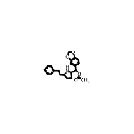 CC(=O)OC(c1ccc2c(c1)OCO2)C1CCC(CCc2ccccc2)N1